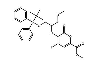 COCC(CO[Si](c1ccccc1)(c1ccccc1)C(C)(C)C)Oc1c(I)cc(C(=O)OC)oc1=O